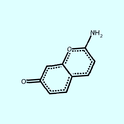 Nc1ccc2ccc(=O)cc-2o1